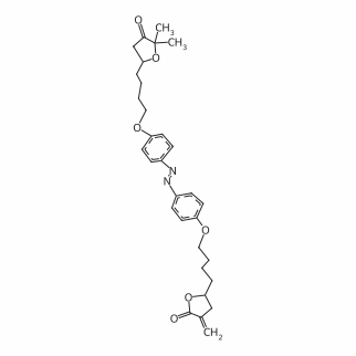 C=C1CC(CCCCOc2ccc(N=Nc3ccc(OCCCCC4CC(=O)C(C)(C)O4)cc3)cc2)OC1=O